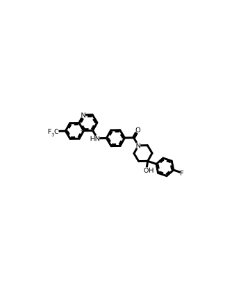 O=C(c1ccc(Nc2ccnc3cc(C(F)(F)F)ccc23)cc1)N1CCC(O)(c2ccc(F)cc2)CC1